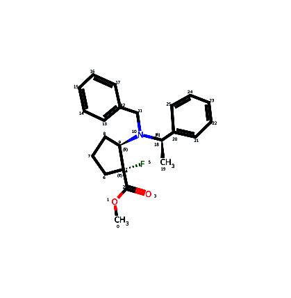 COC(=O)[C@@]1(F)CCC[C@H]1N(Cc1ccccc1)[C@H](C)c1ccccc1